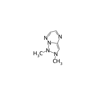 CN1C=C2N=CC=NN2N1C